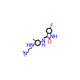 Cc1cc(NC=C2C(=O)Nc3cc(F)ccc32)ccc1NCCCN(C)C